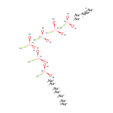 [Na+].[Na+].[Na+].[Na+].[Na+].[Na+].[Na+].[Na+].[Na+].[Na+].[Na+].[Na+].[O-]B([O-])F.[O-]B([O-])F.[O-]B([O-])F.[O-]B([O-])F.[O-]B([O-])F.[O-]B([O-])F